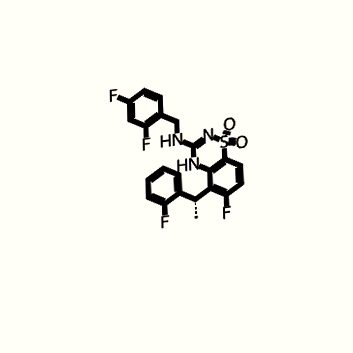 C[C@H](c1ccccc1F)c1c(F)ccc2c1NC(NCc1ccc(F)cc1F)=NS2(=O)=O